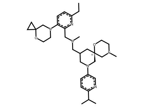 CCc1ccc(N2CCOC3(CC3)C2)c(CN(C)CC2CN(c3ccc(C(C)C)nc3)C[C@]3(C2)CN(C)CCO3)n1